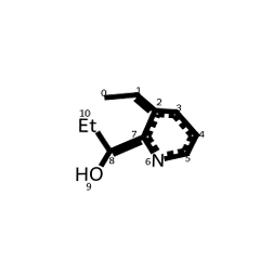 C/C=c1/cccn/c1=C(\O)CC